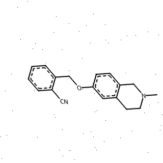 CN1CCc2cc(OCc3ccccc3C#N)ccc2C1